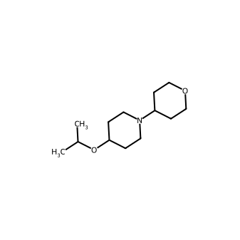 CC(C)OC1CCN(C2CCOCC2)CC1